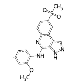 COc1c[c]ccc1Nc1nc2ccc(S(C)(=O)=O)cc2c2cn[nH]c12